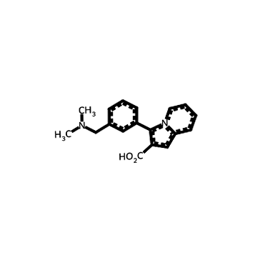 CN(C)Cc1cccc(-c2c(C(=O)O)cc3ccccn23)c1